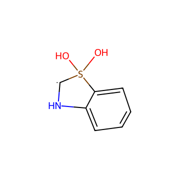 OS1(O)[CH]Nc2ccccc21